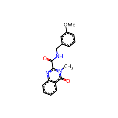 COc1cccc(CNC(=O)c2nc3ccccc3c(=O)n2C)c1